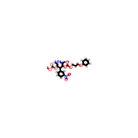 COC(=O)OC1=C(C)NC(C)=C(OC(=O)OCCCOc2ccccc2)C1c1cccc([N+](=O)[O-])c1